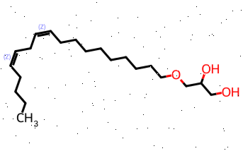 CCCC/C=C\C/C=C\CCCCCCCCCOCC(O)CO